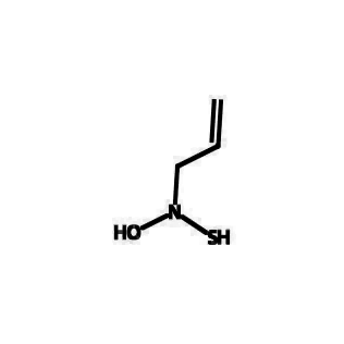 C=CCN(O)S